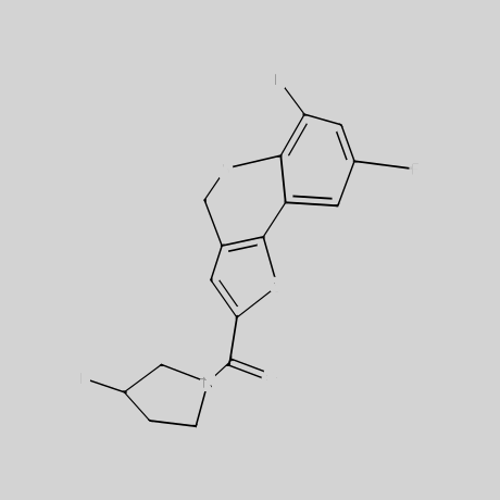 O=C(c1cc2c(s1)-c1cc(F)cc(F)c1SC2)N1CCC(F)C1